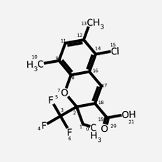 CCC1(C(F)(F)F)Oc2c(C)cc(C)c(Cl)c2C=C1C(=O)O